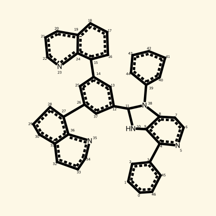 c1ccc(-c2nccc3c2NC(c2cc(-c4cccc5cccnc45)cc(-c4cccc5cccnc45)c2)N3c2ccccc2)cc1